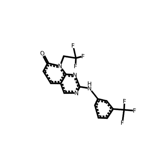 O=c1ccc2cnc(Nc3cccc(C(F)(F)F)c3)nc2n1CC(F)(F)F